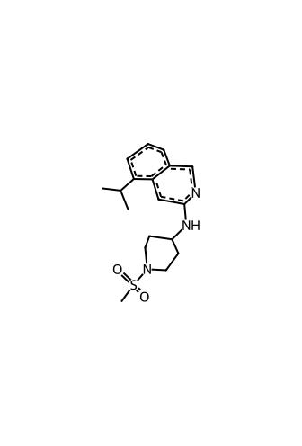 CC(C)c1cccc2cnc(NC3CCN(S(C)(=O)=O)CC3)cc12